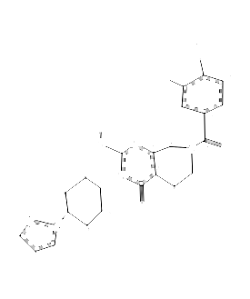 CC(C)Nc1nc2c(c(=O)n1[C@H]1CC[C@H](n3cccn3)CC1)C[C@@H](C)N(C(=O)c1ccc(Cl)c(C(F)(F)F)c1)C2